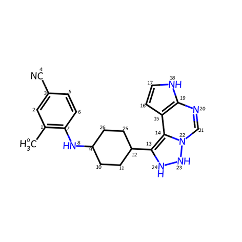 Cc1cc(C#N)ccc1NC1CCC(C2=C3c4cc[nH]c4N=CN3NN2)CC1